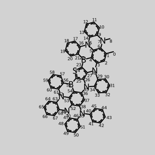 Cc1cc2c3c4c1N(C)c1ccccc1N4c1ccccc1B3c1sc3c4c1N2c1ccccc1N4c1cc(N(c2ccccc2)c2ccccc2)c2c4c1B3c1ccccc1N4c1ccccc1N2C